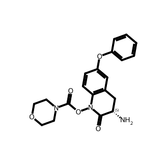 N[C@H]1Cc2cc(Oc3ccccc3)ccc2N(OC(=O)N2CCOCC2)C1=O